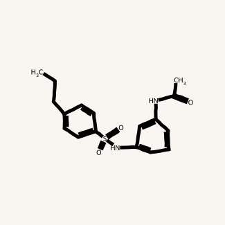 CCCc1ccc(S(=O)(=O)Nc2cccc(NC(C)=O)c2)cc1